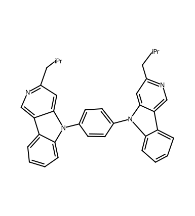 CC(C)Cc1cc2c(cn1)c1ccccc1n2-c1ccc(-n2c3ccccc3c3cnc(CC(C)C)cc32)cc1